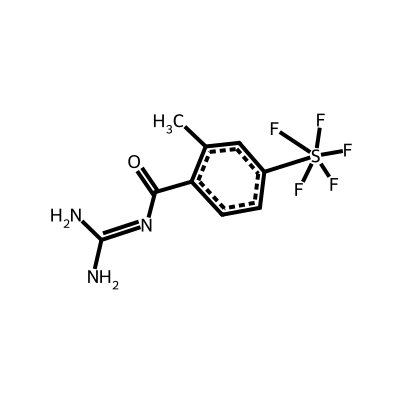 Cc1cc(S(F)(F)(F)(F)F)ccc1C(=O)N=C(N)N